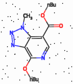 CCCCOC(=O)c1cnc(OCCCC)c2nnn(C)c12